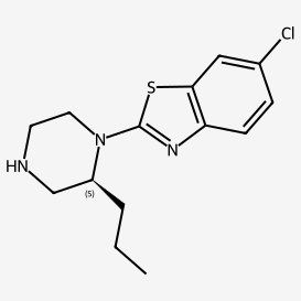 CCC[C@H]1CNCCN1c1nc2ccc(Cl)cc2s1